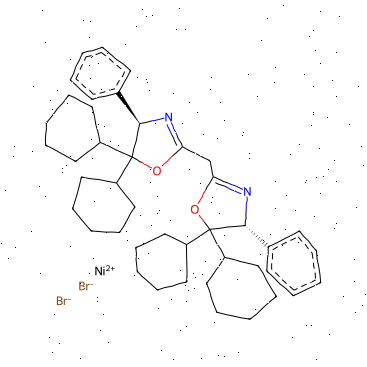 [Br-].[Br-].[Ni+2].c1ccc([C@H]2N=C(CC3=N[C@H](c4ccccc4)C(C4CCCCC4)(C4CCCCC4)O3)OC2(C2CCCCC2)C2CCCCC2)cc1